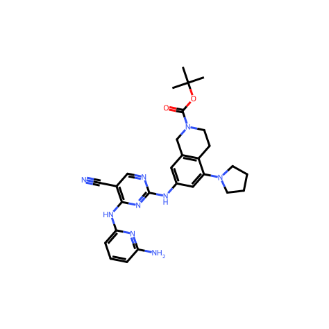 CC(C)(C)OC(=O)N1CCc2c(cc(Nc3ncc(C#N)c(Nc4cccc(N)n4)n3)cc2N2CCCC2)C1